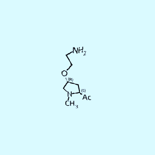 CC(=O)[C@@H]1C[C@@H](OCCN)CN1C